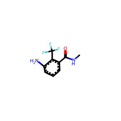 CNC(=O)c1cccc(N)c1C(F)(F)F